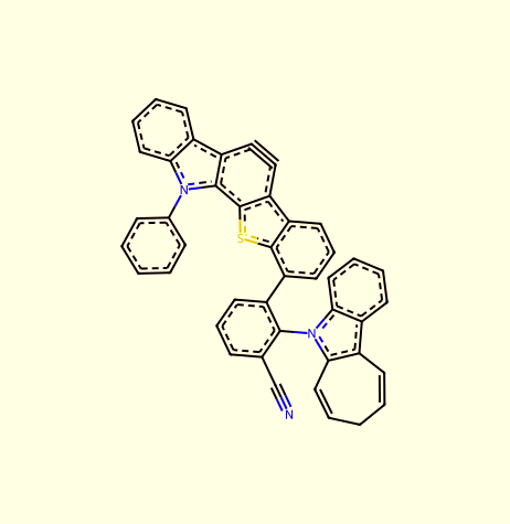 N#Cc1cccc(-c2cccc3c2sc2c3c#cc3c4ccccc4n(-c4ccccc4)c32)c1-n1c2c(c3ccccc31)C=CCC=C2